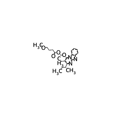 CCc1c(C(C)CC)nc2nc3ccccc3n2c1OCOC(=O)CCCOC